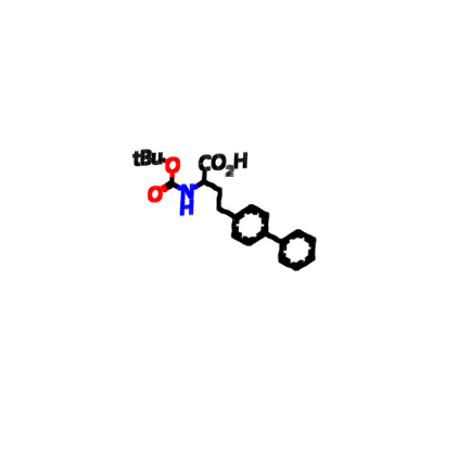 CC(C)(C)OC(=O)NC(CCc1ccc(-c2ccccc2)cc1)C(=O)O